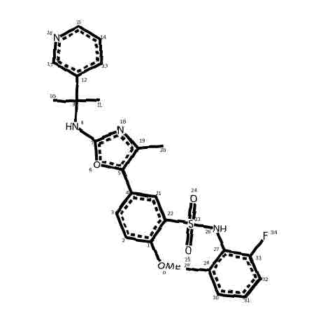 COc1ccc(-c2oc(NC(C)(C)c3cccnc3)nc2C)cc1S(=O)(=O)Nc1c(C)cccc1F